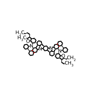 C=C/C=C\c1c(C)oc2c(N(c3ccccc3-c3ccccc3)c3cccc4c3c3cccc5c6cc7c(cc6n4c53)c3cccc4c5c(N(c6ccccc6-c6ccccc6)c6cccc8c(/C=C\C)c(C=C)oc68)cccc5n7c34)cccc12